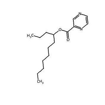 CCCCCCCC(CCC)OC(=O)c1cnccn1